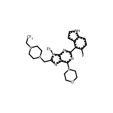 CCn1c(CN2CCN(CC(F)(F)F)CC2)nc2c(N3CCOCC3)nc(-c3c(F)ccc4[nH]ccc34)nc21